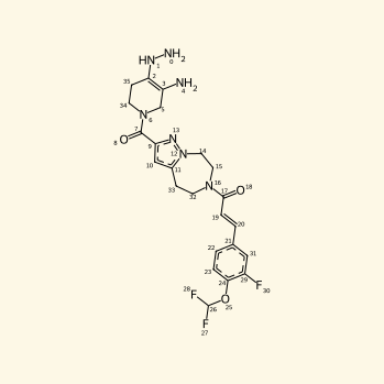 NNC1=C(N)CN(C(=O)c2cc3n(n2)CCN(C(=O)/C=C/c2ccc(OC(F)F)c(F)c2)CC3)CC1